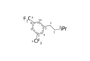 CC(C)CCc1cc(C(F)(F)F)cc(C(F)(F)F)c1